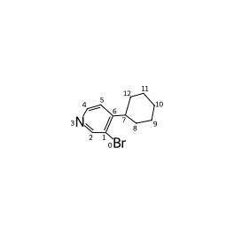 Brc1cnccc1C1CCCCC1